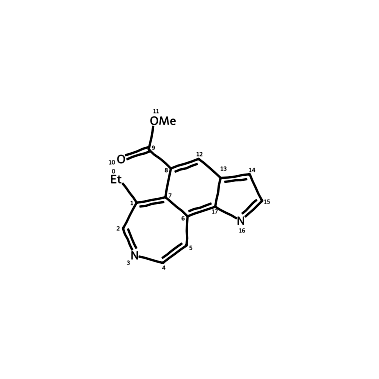 CCc1cnccc2c1c(C(=O)OC)cc1ccnc12